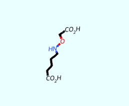 O=C(O)CCCCNOCC(=O)O